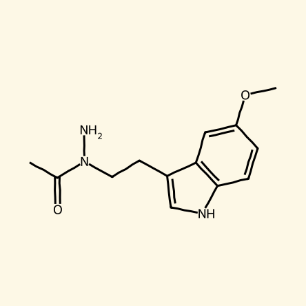 COc1ccc2[nH]cc(CCN(N)C(C)=O)c2c1